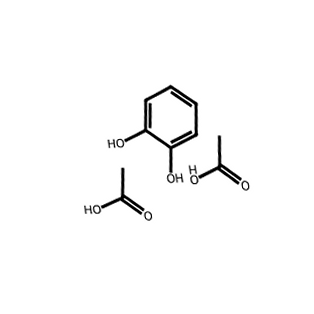 CC(=O)O.CC(=O)O.Oc1ccccc1O